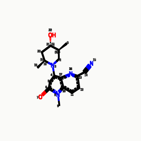 C[C@H]1CN(c2cc(=O)n(C)c3ccc(C#N)nc23)[C@@H](C)C[C@@H]1O